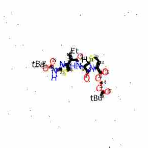 CC/C=C(\C(=O)N[C@@H]1C(=O)N2C(C(=O)OCOC(=O)C(C)(C)C)=CCS[C@@H]12)c1csc(NC(=O)OC(C)(C)C)n1